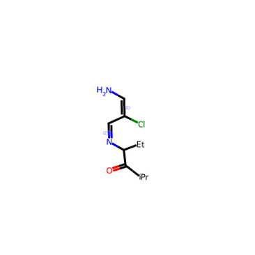 CCC(/N=C\C(Cl)=C/N)C(=O)C(C)C